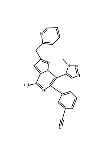 Cn1nncc1-c1c(-c2cccc(C#N)c2)nc(N)c2cc(Cc3ccccn3)nn12